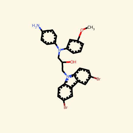 COc1cccc(N(CC(O)Cn2c3ccc(Br)cc3c3cc(Br)ccc32)c2ccc(N)cc2)c1